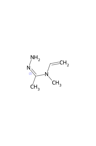 C=CN(C)/C(C)=N\N